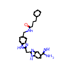 N=C(N)c1ccc2[nH]c(Cc3nc4cc(CNC(=O)CCCc5ccccc5)ccc4[nH]3)nc2c1